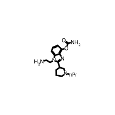 CCCN1CCCC(c2nc3c(OC(N)=O)cccc3n2CCN)C1